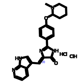 CN1CCCCC1Oc1ccc(C2=N/C(=C\c3c[nH]c4ncccc34)C(=O)N2)cc1.Cl.Cl